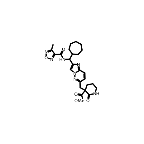 COC(=O)C1(Cc2ccc3nc(C(NC(=O)c4nonc4C)C4CCCCCC4)cn3n2)CCCNC1=O